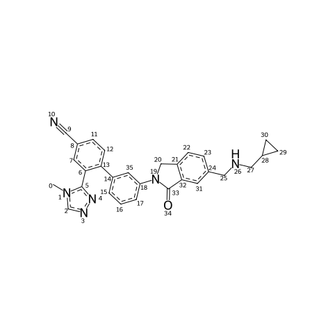 Cn1cnnc1-c1cc(C#N)ccc1-c1cccc(N2Cc3ccc(CNCC4CC4)cc3C2=O)c1